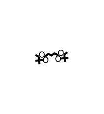 CC(OC(=O)CCCC(=O)OC(C)C(C)(C)C)C(C)(C)C